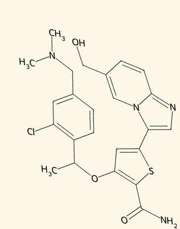 CC(Oc1cc(-c2cnc3ccc(CO)cn23)sc1C(N)=O)c1ccc(CN(C)C)cc1Cl